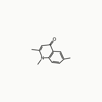 Cc1ccc2c(c1)c(=O)cc(C)n2C